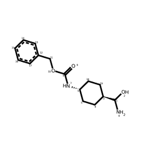 NC(O)[C@H]1CC[C@H](NC(=O)OCc2ccccc2)CC1